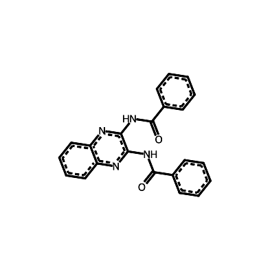 O=C(Nc1nc2ccccc2nc1NC(=O)c1ccccc1)c1ccccc1